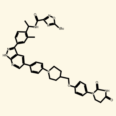 Cc1cc(-c2n[nH]c3ncc(-c4ccc(N5CCC(COc6ccc(N7CCC(=O)NC7=O)cc6)CC5)cc4)cc23)ccc1C(C)NC(=O)c1noc(C(C)(C)C)n1